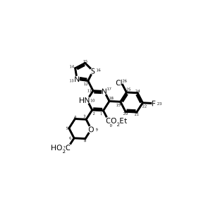 CCOC(=O)C1=C(C2CCC(C(=O)O)CO2)NC(c2nccs2)=NC1c1ccc(F)cc1Cl